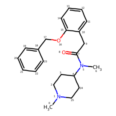 CN1CCC(N(C)C(=O)Cc2ccccc2OCc2ccccc2)CC1